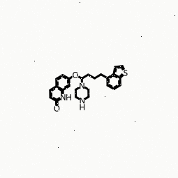 O=c1ccc2ccc(OC(CCCc3cccc4sccc34)N3CCNCC3)cc2[nH]1